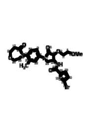 COCCOC1C(=O)N(c2ccc(N3CCOCCC3=O)c(C)c2)CC1NC(=O)c1ccc(Br)s1